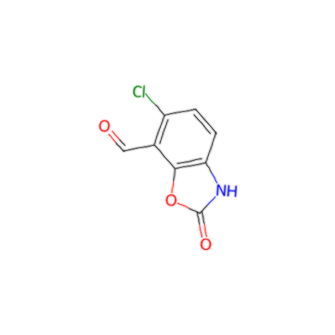 O=Cc1c(Cl)ccc2[nH]c(=O)oc12